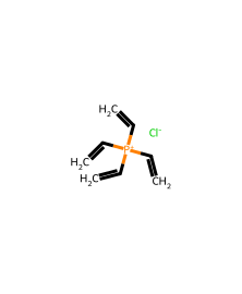 C=C[P+](C=C)(C=C)C=C.[Cl-]